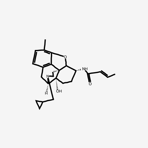 C/C=C/C(=O)N[C@@H]1CC[C@@]2(O)[C@H]3Cc4ccc(C)c5c4[C@@]2(CCN3CC2CC2)C1O5